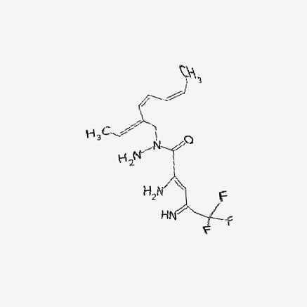 C\C=C/C=C\C(=C/C)CN(N)C(=O)/C(N)=C/C(=N)C(F)(F)F